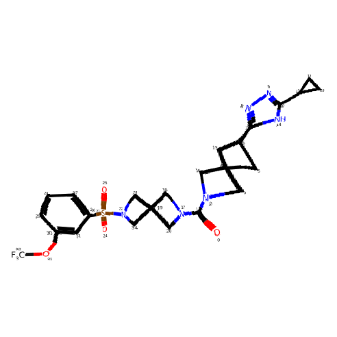 O=C(N1CC2(CC(c3nnc(C4CC4)[nH]3)C2)C1)N1CC2(C1)CN(S(=O)(=O)c1cccc(OC(F)(F)F)c1)C2